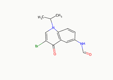 CC(C)n1cc(Br)c(=O)c2cc(NC=O)ccc21